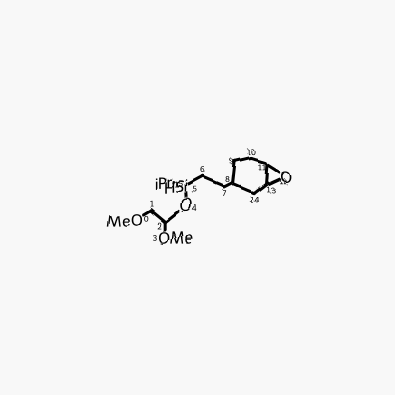 COCC(OC)O[SiH](CCC1CCC2OC2C1)C(C)C